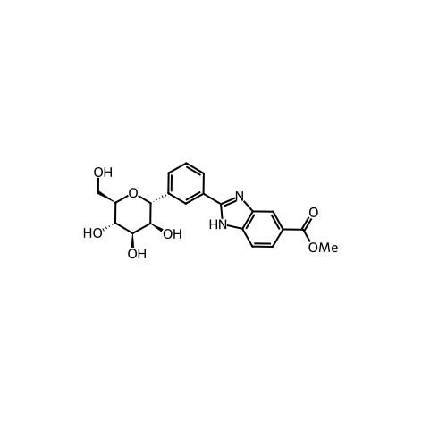 COC(=O)c1ccc2[nH]c(-c3cccc([C@H]4O[C@H](CO)[C@@H](O)[C@H](O)[C@@H]4O)c3)nc2c1